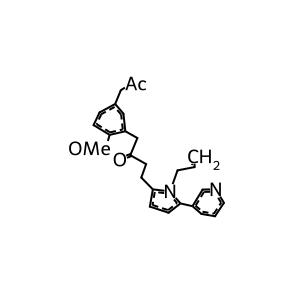 C=CCn1c(CCC(=O)Cc2cc(CC(C)=O)ccc2OC)ccc1-c1cccnc1